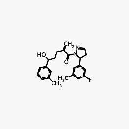 C=C(CCC(O)c1cccc(C)c1)C(=O)N1N=CCC1c1cc(C)cc(F)c1